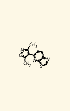 Cc1noc(C)c1-c1ccc2ncsc2n1